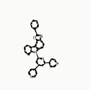 c1ccc(-c2nc3ccc4c(c5ccccc5n4-c4cc(-c5ccncc5)cc(-c5ccncc5)n4)c3o2)cc1